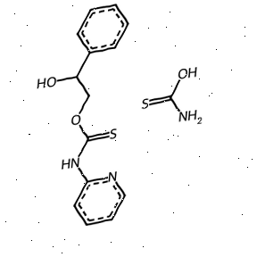 NC(O)=S.OC(COC(=S)Nc1ccccn1)c1ccccc1